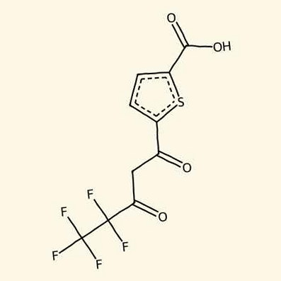 O=C(O)c1ccc(C(=O)CC(=O)C(F)(F)C(F)(F)F)s1